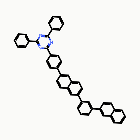 c1ccc(-c2nc(-c3ccccc3)nc(-c3ccc(-c4ccc5cc(-c6cccc(-c7ccc8ccccc8c7)c6)ccc5c4)cc3)n2)cc1